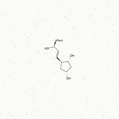 CCCCC[C@H](O)/C=C/[C@@H]1C[C@@H](O)C[C@H]1O